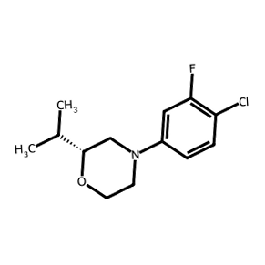 CC(C)[C@@H]1CN(c2ccc(Cl)c(F)c2)CCO1